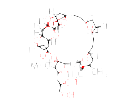 C=C1C[C@@H]2CC[C@@]34C[C@@H]5O[C@H]6[C@@H](O3)[C@H]3O[C@H](CC[C@@H]3O[C@H]6[C@@H]5O4)CC(=O)O[C@H]3C(C[C@H]4O[C@@H](CC[C@@H]1O2)C[C@@H](C)C4=C)O[C@H](C[C@@H](O)CO)[C@@H]3OC